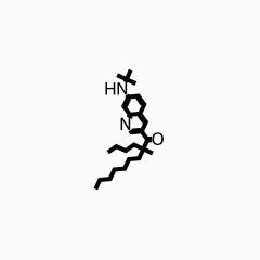 CCCCCCCC(C)(CCCC)C(=O)c1cnc2cc(NC(C)(C)C)ccc2c1